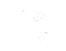 Nc1nccn2c(C3CCN(C(=O)c4ccsc4)CC3)nc(C3Cc4cccc(C5CC5)c4N3)c12